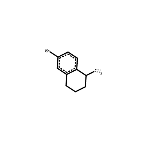 CC1CCCc2cc(Br)ccc21